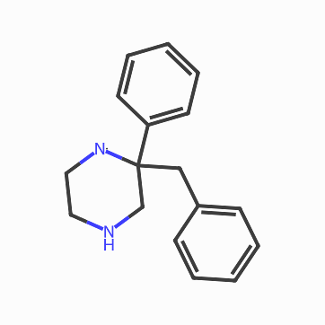 c1ccc(CC2(c3ccccc3)CNCC[N]2)cc1